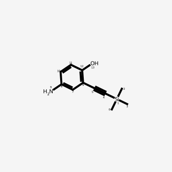 C[Si](C)(C)C#Cc1cc(N)ccc1O